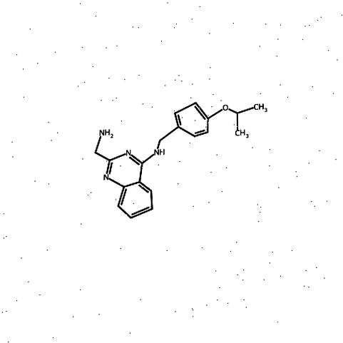 CC(C)Oc1ccc(CNc2nc(CN)nc3ccccc23)cc1